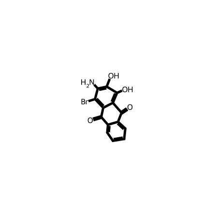 Nc1c(O)c(O)c2c(c1Br)C(=O)c1ccccc1C2=O